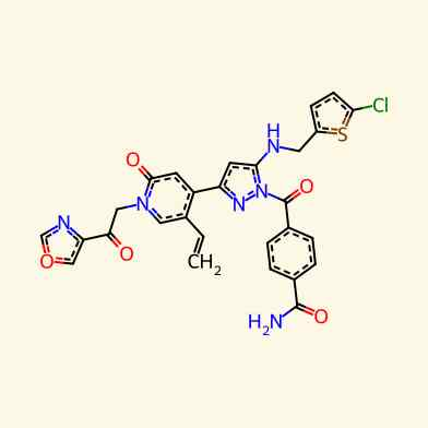 C=Cc1cn(CC(=O)c2cocn2)c(=O)cc1-c1cc(NCc2ccc(Cl)s2)n(C(=O)c2ccc(C(N)=O)cc2)n1